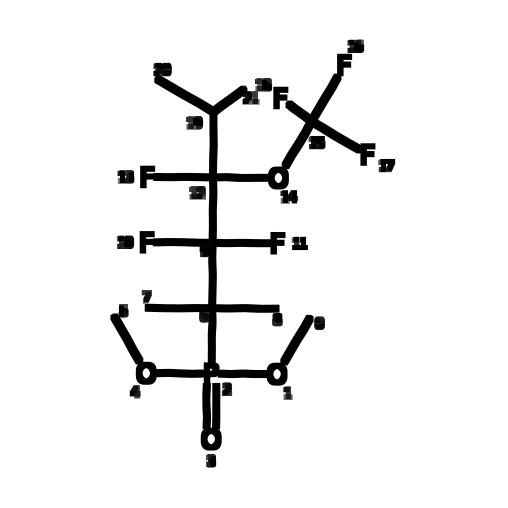 COP(=O)(OC)C(C)(C)C(F)(F)C(F)(OC(F)(F)F)C(C)C